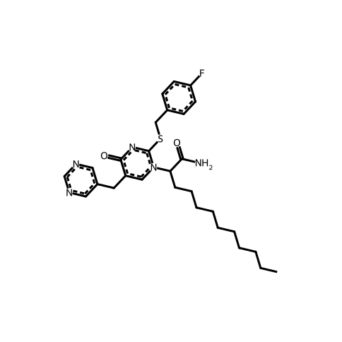 CCCCCCCCCCC(C(N)=O)n1cc(Cc2cncnc2)c(=O)nc1SCc1ccc(F)cc1